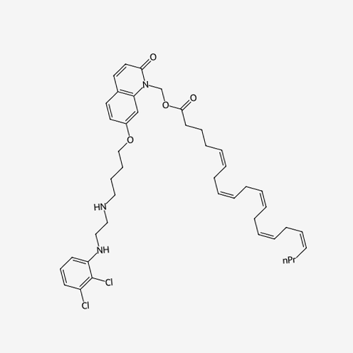 CCC/C=C\C/C=C\C/C=C\C/C=C\C/C=C\CCCC(=O)OCn1c(=O)ccc2ccc(OCCCCNCCNc3cccc(Cl)c3Cl)cc21